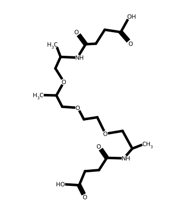 CC(COCCOCC(C)OCC(C)NC(=O)CCC(=O)O)NC(=O)CCC(=O)O